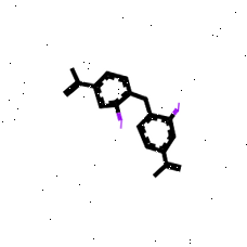 C=C(C)c1ccc(Cc2ccc(C(=C)C)cc2I)c(I)c1